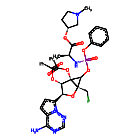 CC(C)C(=O)O[C@H]1[C@H](c2ccc3c(N)ncnn23)O[C@]2(CF)C(O[P@@](=O)(N[C@@H](C)C(=O)O[C@@H]3CCN(C)C3)Oc3ccccc3)[C@]12OC(=O)C(C)C